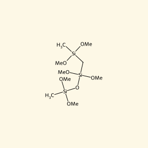 CO[Si](C)(C[Si](OC)(OC)O[Si](C)(OC)OC)OC